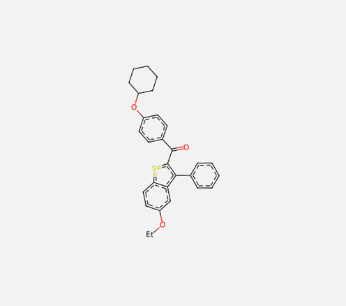 CCOc1ccc2sc(C(=O)c3ccc(OC4CCCCC4)cc3)c(-c3ccccc3)c2c1